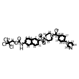 O=C(Nc1ccc2cc(S(=O)(=O)N3CCN(C(=O)c4ccc(-n5ccnc5)cc4)CC3)ccc2c1)OCC(Cl)(Cl)Cl